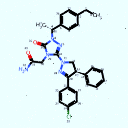 CCc1ccc([C@@H](C)n2nc(N3C[C@@H](c4ccccc4)C(c4ccc(Cl)cc4)=N3)n(CC(N)=O)c2=O)cc1